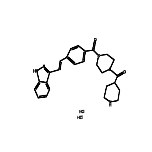 Cl.Cl.O=C(c1ccc(/C=C/c2n[nH]c3ccccc23)cc1)N1CCN(C(=O)C2CCNCC2)CC1